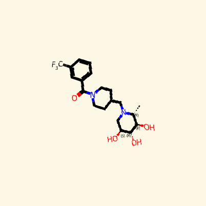 C[C@@H]1[C@@H](O)[C@H](O)[C@@H](O)CN1CC1CCN(C(=O)c2cccc(C(F)(F)F)c2)CC1